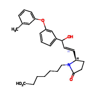 Cc1cccc(Oc2cccc(C(O)/C=C/[C@H]3CCC(=O)N3CCCCCCC(=O)O)c2)c1